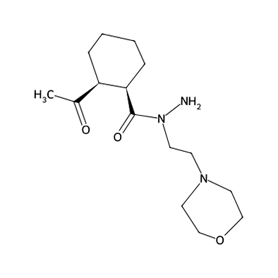 CC(=O)[C@H]1CCCC[C@H]1C(=O)N(N)CCN1CCOCC1